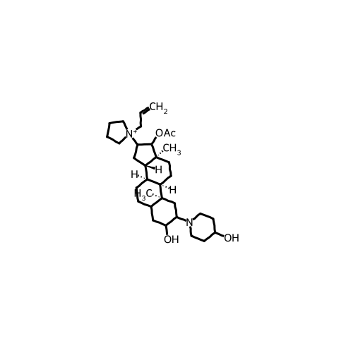 C=CC[N+]1(C2C[C@H]3[C@@H]4CCC5CC(O)C(N6CCC(O)CC6)C[C@]5(C)[C@@H]4CC[C@]3(C)C2OC(C)=O)CCCC1